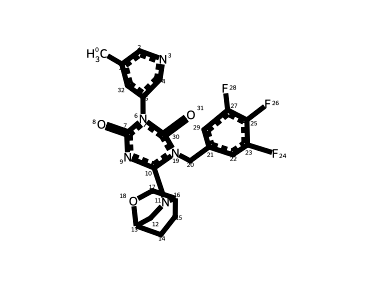 Cc1cncc(-n2c(=O)nc(N3CC4CCC3CO4)n(Cc3cc(F)c(F)c(F)c3)c2=O)c1